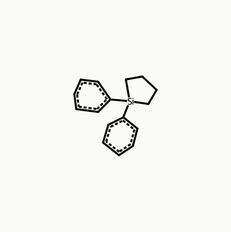 c1ccc([Si]2(c3ccccc3)CCCC2)cc1